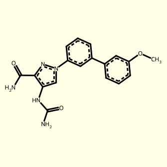 COc1cccc(-c2cccc(-n3cc(NC(N)=O)c(C(N)=O)n3)c2)c1